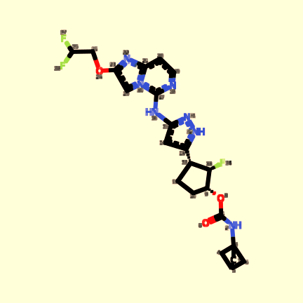 O=C(NC12CC(C1)C2)O[C@@H]1CC[C@H](c2cc(Nc3nccc4nc(OCC(F)F)cn34)n[nH]2)[C@H]1F